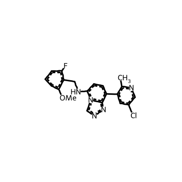 COc1cccc(F)c1CNc1ccc(-c2cc(Cl)cnc2C)c2nncn12